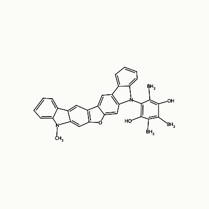 Bc1c(B)c(O)c(-n2c3ccccc3c3cc4c(cc32)oc2cc3c(cc24)c2ccccc2n3C)c(B)c1O